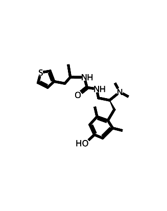 Cc1cc(O)cc(C)c1C[C@@H](CNC(=O)NC(C)Cc1ccsc1)N(C)C